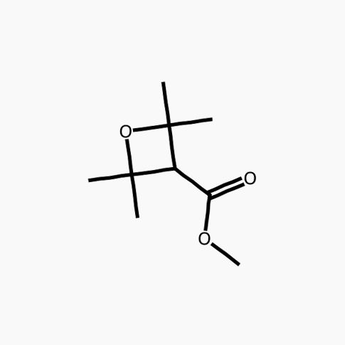 COC(=O)C1C(C)(C)OC1(C)C